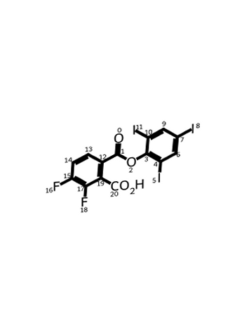 O=C(Oc1c(I)cc(I)cc1I)c1ccc(F)c(F)c1C(=O)O